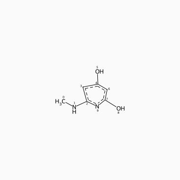 CNc1cc(O)cc(O)n1